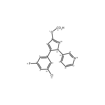 O=C(O)Oc1cc(-c2cc(F)cc(Cl)c2)n(-c2cccnc2)n1